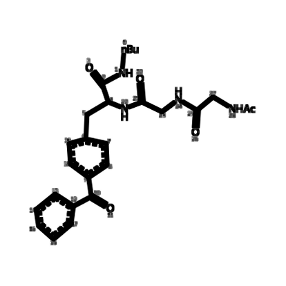 CCCCNC(=O)C(Cc1ccc(C(=O)c2ccccc2)cc1)NC(=O)CNC(=O)CNC(C)=O